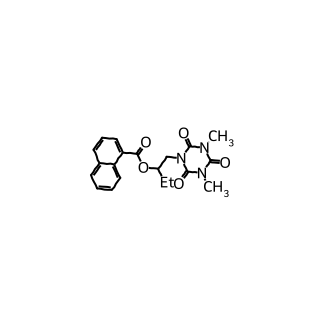 CCC(Cn1c(=O)n(C)c(=O)n(C)c1=O)OC(=O)c1cccc2ccccc12